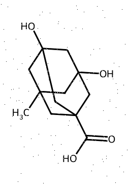 CC12CC3(O)CC(O)(C1)CC(C(=O)O)(C2)C3